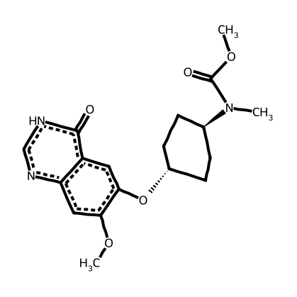 COC(=O)N(C)[C@H]1CC[C@H](Oc2cc3c(=O)[nH]cnc3cc2OC)CC1